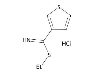 CCSC(=N)c1ccsc1.Cl